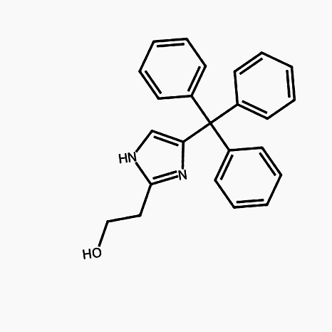 OCCc1nc(C(c2ccccc2)(c2ccccc2)c2ccccc2)c[nH]1